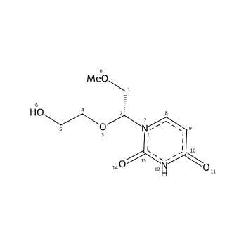 COC[C@@H](OCCO)n1ccc(=O)[nH]c1=O